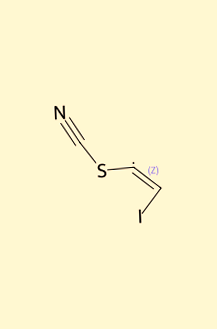 N#CS/[C]=C\I